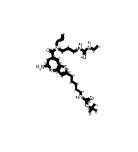 CCCN(CCCNC(=O)NCC)C(=O)C1=Cc2sc(CCCCCNC(=O)OC(C)(C)C)cc2N=C(N)C1